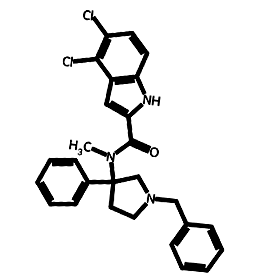 CN(C(=O)c1cc2c(Cl)c(Cl)ccc2[nH]1)C1(c2ccccc2)CCN(Cc2ccccc2)C1